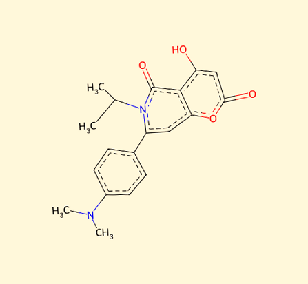 CC(C)n1c(-c2ccc(N(C)C)cc2)cc2oc(=O)cc(O)c2c1=O